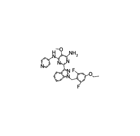 CCOc1cc(F)c(Cn2nc(-c3nc(N)c(OC)c(Nc4ccncc4)n3)c3ccccc32)c(F)c1